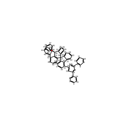 c1ccc(-c2cc(-c3ccccc3)nc(-c3cccc4c3-c3ccccc3C43c4ccccc4C4(c5ccccc5)c5ccccc5-c5cccc3c54)c2)cc1